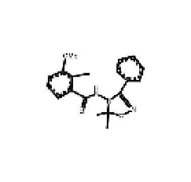 COc1cccc(C(=O)NN2C(c3ccccc3)=NOC2(C)C)c1C